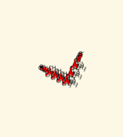 CCCC[N+](CCCC)(CCCC)CCCC.CCCC[N+](CCCC)(CCCC)CCCC.CCCC[N+](CCCC)(CCCC)CCCC.CCCC[N+](CCCC)(CCCC)CCCC.CCCC[N+](CCCC)(CCCC)CCCC.CCCC[N+](CCCC)(CCCC)CCCC.O=S(=O)([O-])F.O=S(=O)([O-])F.O=S(=O)([O-])F.O=S(=O)([O-])F.O=S(=O)([O-])F.O=S(=O)([O-])F